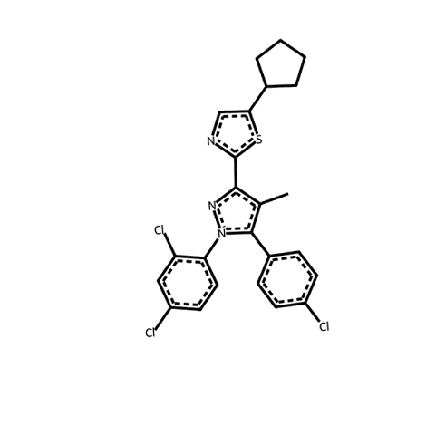 Cc1c(-c2ncc(C3CCCC3)s2)nn(-c2ccc(Cl)cc2Cl)c1-c1ccc(Cl)cc1